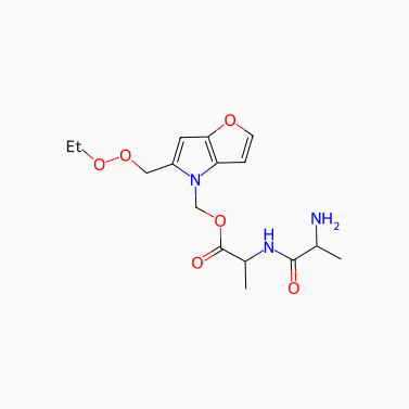 CCOOCc1cc2occc2n1COC(=O)C(C)NC(=O)C(C)N